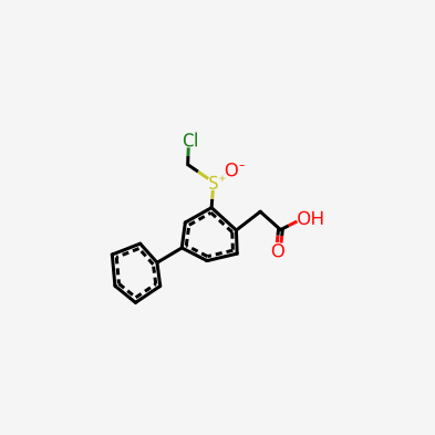 O=C(O)Cc1ccc(-c2ccccc2)cc1[S+]([O-])CCl